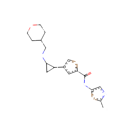 Cc1ncc(NC(=O)c2cc(C3CC3NCC3CCOCC3)cs2)s1